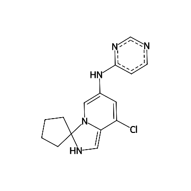 ClC1=CC(Nc2ccncn2)=CN2C1=CNC21CCCC1